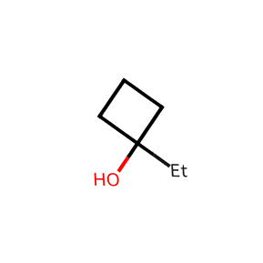 [CH2]CC1(O)CCC1